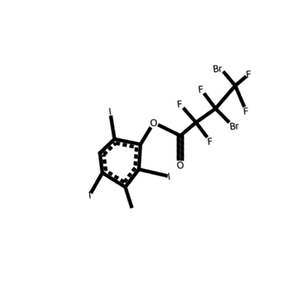 Cc1c(I)cc(I)c(OC(=O)C(F)(F)C(F)(Br)C(F)(F)Br)c1I